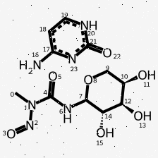 CN(N=O)C(=O)NC1OC[C@@H](O)[C@@H](O)[C@@H]1O.Nc1cc[nH]c(=O)n1